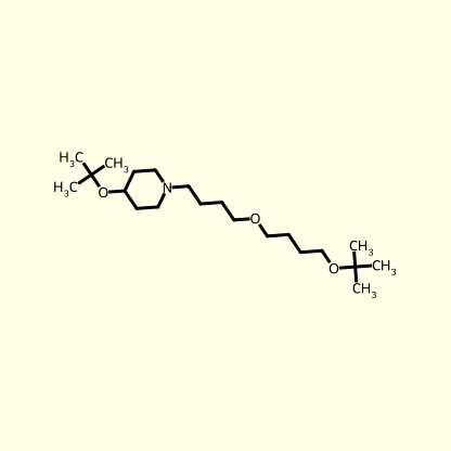 CC(C)(C)OCCCCOCCCCN1CCC(OC(C)(C)C)CC1